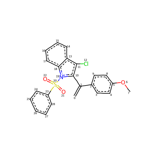 C=C(c1ccc(OC)cc1)c1c(Cl)c2ccccc2n1S(=O)(=O)c1ccccc1